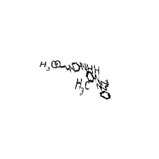 COCCCN1CCC(Nc2cc(C)cc(Nc3ncn(-c4ccccc4)n3)c2)CC1